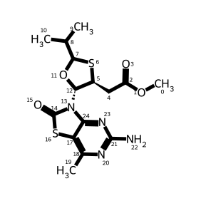 COC(=O)C[C@@H]1SC(C(C)C)O[C@H]1n1c(=O)sc2c(C)nc(N)nc21